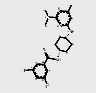 Cc1cc(N[C@H]2CC[C@@H](NC(=O)c3cc(F)cc(Cl)c3)CC2)nc(N(C)C)n1